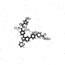 Cc1cc(-c2nn(C3CCCCO3)c3ncc(-c4ccc(C5(O)CCN(C(=O)OC(C)(C)C)CC5)cc4)cc23)ccc1[C@@H](C)NC(=O)c1nc(C(C)(C)C)no1